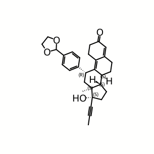 CC#C[C@]1(O)CC[C@H]2[C@@H]3CCC4=CC(=O)CCC4=C3[C@@H](c3ccc(C4OCCO4)cc3)C[C@@]21C